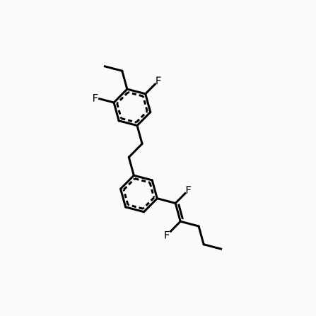 CCC/C(F)=C(\F)c1cccc(CCc2cc(F)c(CC)c(F)c2)c1